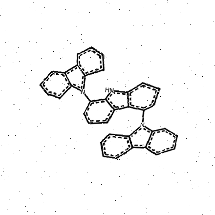 c1cc(-n2c3ccccc3c3ccccc32)c2c(c1)[nH]c1c(-n3c4ccccc4c4ccccc43)cccc12